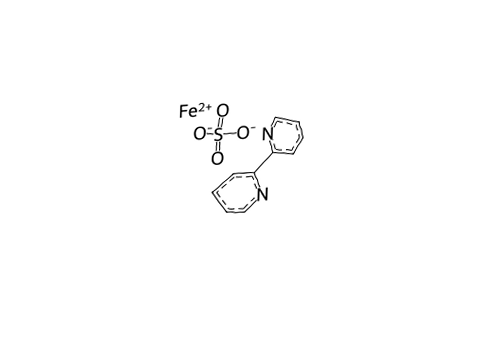 O=S(=O)([O-])[O-].[Fe+2].c1ccc(-c2ccccn2)nc1